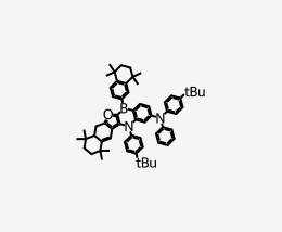 CC1(C)CCC(C)(C)C2Cc3oc4c(c3C=C21)N(c1ccc(C(C)(C)C)cc1)c1cc(N(c2ccccc2)c2ccc(C(C)(C)C)cc2)ccc1B4c1ccc2c(c1)C(C)(C)CCC2(C)C